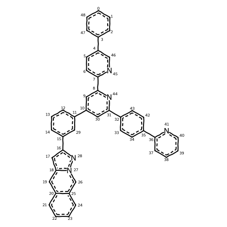 c1ccc(-c2ccc(-c3cc(-c4cccc(-c5cc6cc7ccccc7cn6n5)c4)cc(-c4ccc(-c5ccccn5)cc4)n3)nc2)cc1